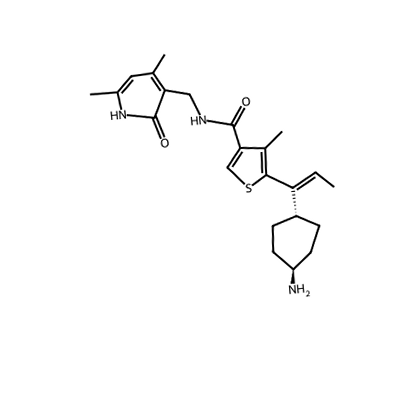 CC=C(c1scc(C(=O)NCc2c(C)cc(C)[nH]c2=O)c1C)[C@H]1CC[C@H](N)CC1